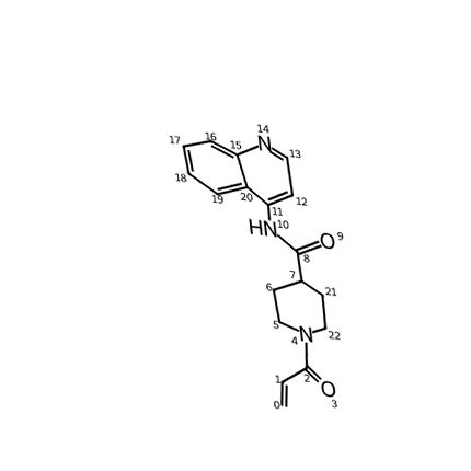 C=CC(=O)N1CCC(C(=O)Nc2ccnc3ccccc23)CC1